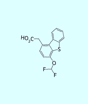 O=C(O)Cc1ccc(OC(F)F)c2sc3ccccc3c12